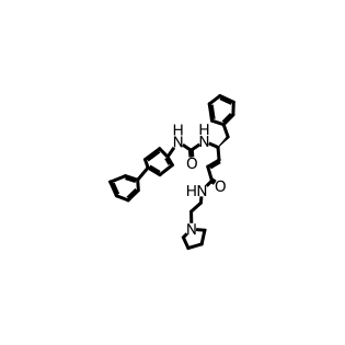 O=C(/C=C/[C@H](Cc1ccccc1)NC(=O)Nc1ccc(-c2ccccc2)cc1)NCCN1CCCC1